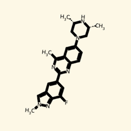 Cc1nc(-c2cc(F)c3nn(C)cc3c2)nc2ccc(N3C[C@@H](C)N[C@@H](C)C3)cc12